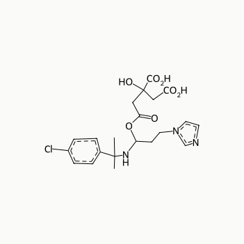 CC(C)(NC(CCn1ccnc1)OC(=O)CC(O)(CC(=O)O)C(=O)O)c1ccc(Cl)cc1